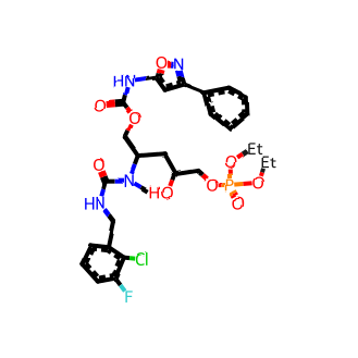 CCOP(=O)(OCC)OCC(O)CC(COC(=O)Nc1cc(-c2ccccc2)no1)N(C)C(=O)NCc1cccc(F)c1Cl